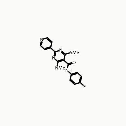 CNc1nc(-c2ccncc2)nc(SC)c1C(=O)Nc1ccc(F)cc1